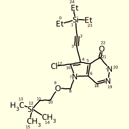 CC[Si](C#Cc1c2c(n(COCC[Si](C)(C)C)c1Cl)C=N[N]C2=O)(CC)CC